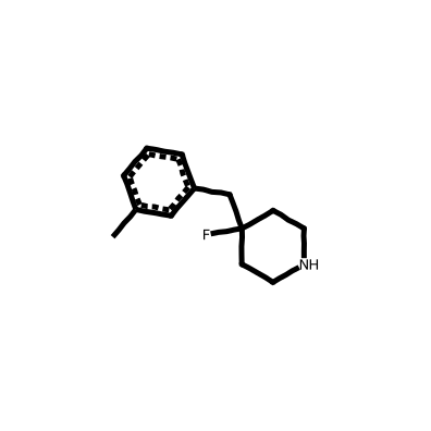 Cc1cccc(CC2(F)CCNCC2)c1